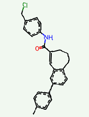 Cc1ccc(-c2ccc3c(c2)C=C(C(=O)Nc2ccc(CCl)cc2)CCC3)cc1